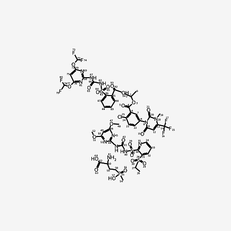 CC(C)OC(=O)c1cc(-n2c(=O)cc(C(F)(F)F)n(C)c2=O)ccc1Cl.CCS(=O)(=O)c1cccnc1S(=O)(=O)NC(=O)Nc1nc(OC)cc(OC)n1.CP(=O)(O)CCC(N)C(=O)O.O=C(Nc1nc(OC(F)F)cc(OC(F)F)n1)NS(=O)(=O)c1ccccc1C(=O)O